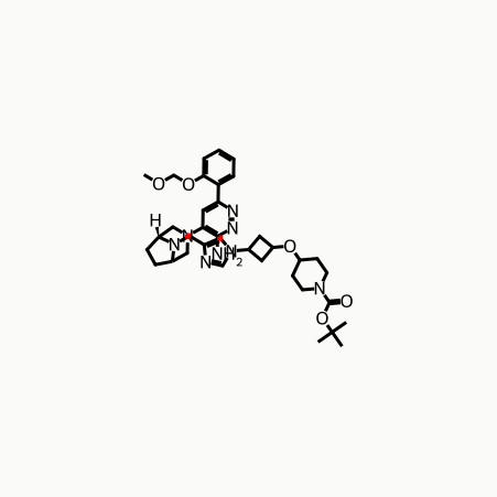 COCOc1ccccc1-c1cc(N2CC3CC[C@H](C2)N3Cc2cn(C3CC(OC4CCN(C(=O)OC(C)(C)C)CC4)C3)cn2)c(N)nn1